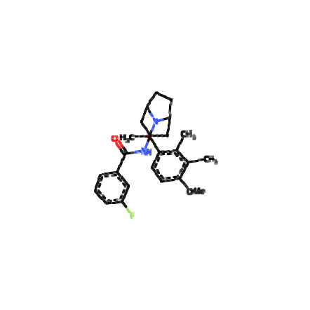 COc1ccc(C(C)N2C3CCC2CC(NC(=O)c2cccc(F)c2)C3)c(C)c1C